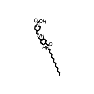 CCCCCCCCCCCCNC(=O)c1ccc(CNCC2CCN(C(=O)O)CC2)cc1